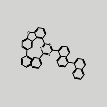 c1ccc(-c2ccc3oc4cccc(-c5nc(-c6ccccc6)nc(-c6cccc7c(-c8cccc9ccccc89)cccc67)n5)c4c3c2)cc1